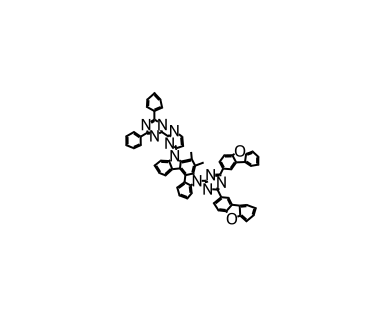 Cc1c(C)c2c(c3ccccc3n2-c2nc(-c3ccc4oc5ccccc5c4c3)nc(-c3ccc4oc5ccccc5c4c3)n2)c2c3ccccc3n(-c3ccnc(-c4nc(-c5ccccc5)nc(-c5ccccc5)n4)n3)c12